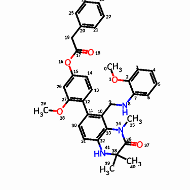 COc1ccccc1NCc1c(-c2ccc(OC(=O)Cc3ccccc3)cc2OC)ccc2c1N(C)C(=O)C(C)(C)N2